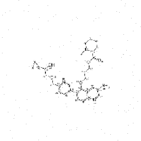 CN1CCCCC1C(=O)OCCCOc1c(-c2cnc(COCC(O)C3CC3)nc2)ccc2ncc(N)cc12